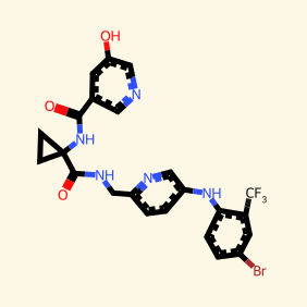 O=C(NC1(C(=O)NCc2ccc(Nc3ccc(Br)cc3C(F)(F)F)cn2)CC1)c1cncc(O)c1